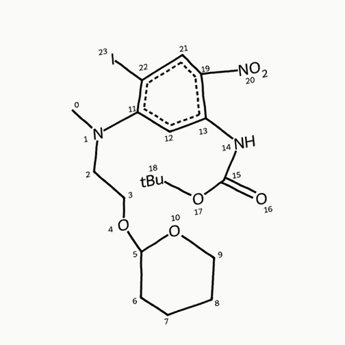 CN(CCOC1CCCCO1)c1cc(NC(=O)OC(C)(C)C)c([N+](=O)[O-])cc1I